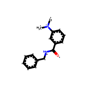 CCN(C)c1cccc(C(=O)NCc2ccccc2)c1